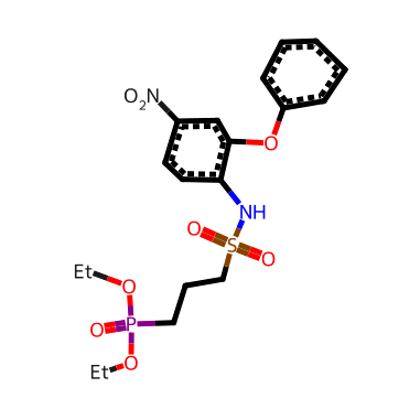 CCOP(=O)(CCCS(=O)(=O)Nc1ccc([N+](=O)[O-])cc1Oc1ccccc1)OCC